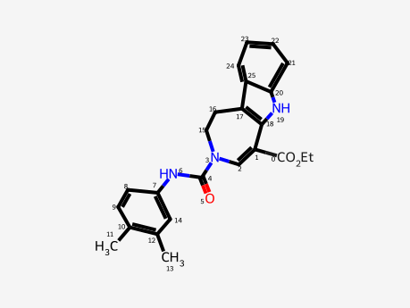 CCOC(=O)C1=CN(C(=O)Nc2ccc(C)c(C)c2)CCc2c1[nH]c1ccccc21